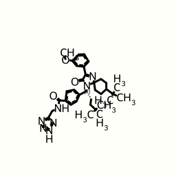 COc1cccc(C2=NC3(CCC(C(C)(C)C)CC3)N([C@H](CCC(C)(C)C)c3ccc(C(=O)NCc4nn[nH]n4)cc3)C2=O)c1